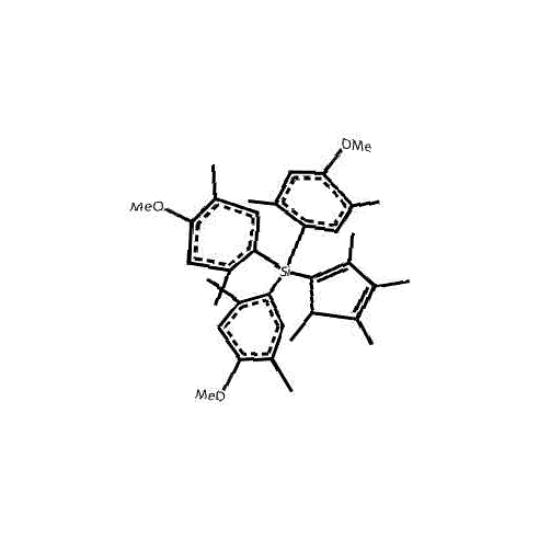 COc1cc(C)c([Si](C2=C(C)C(C)=C(C)C2C)(c2cc(C)c(OC)cc2C)c2cc(C)c(OC)cc2C)cc1C